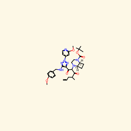 C=CCC(C)C(=O)C(C(=O)c1nn(-c2ccnc(OC)c2)nc1NCc1ccc(OC)cc1)N1CCN(C(=O)OC(C)(C)C)[C@H]2CC[C@@H]21